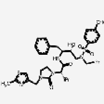 Cc1nc(CN2CCN([C@H](C(=O)N[C@@H](Cc3ccccc3)[C@H](O)CN(CC(C)C)S(=O)(=O)c3ccc(C=O)cc3)C(C)C)C2=O)cs1